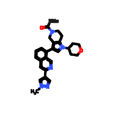 CNC(=O)N1CCc2c(c(-c3cccc4cc(-c5cnn(C)c5)ncc34)cn2C2CCOCC2)C1